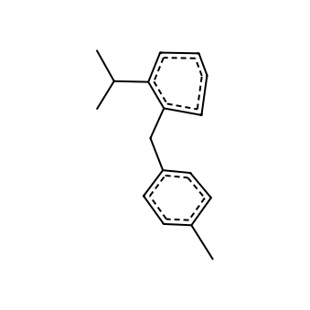 Cc1ccc(Cc2ccccc2C(C)C)cc1